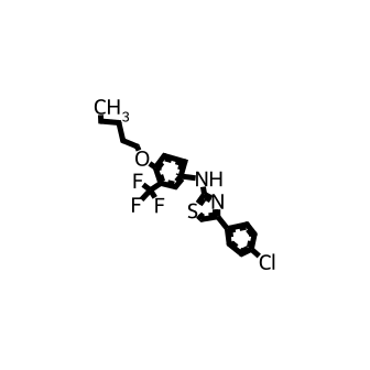 CCCCCOc1ccc(Nc2nc(-c3ccc(Cl)cc3)cs2)cc1C(F)(F)F